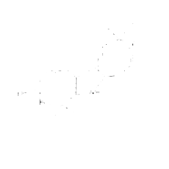 CC1(C)C=c2c3c([nH]c2=CC=N1)C(C)(C)N=C(Cl)C=C3